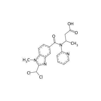 CC(CC(=O)O)N(C(=O)c1ccc2c(c1)nc(C(Cl)Cl)n2C)c1ccccn1